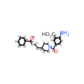 Nc1ccc(C(=O)N2CCC(CCCC(=O)c3ccccc3)CC2)cc1C(=O)O